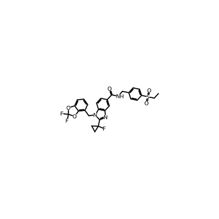 CCS(=O)(=O)c1ccc(CNC(=O)c2ccc3c(c2)nc(C2(F)CC2)n3Cc2cccc3c2OC(F)(F)O3)cc1